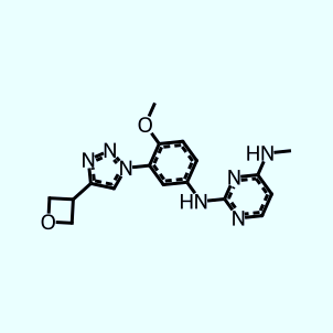 CNc1ccnc(Nc2ccc(OC)c(-n3cc(C4COC4)nn3)c2)n1